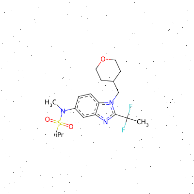 CCCS(=O)(=O)N(C)c1ccc2c(c1)nc(C(C)(F)F)n2CC1CCOCC1